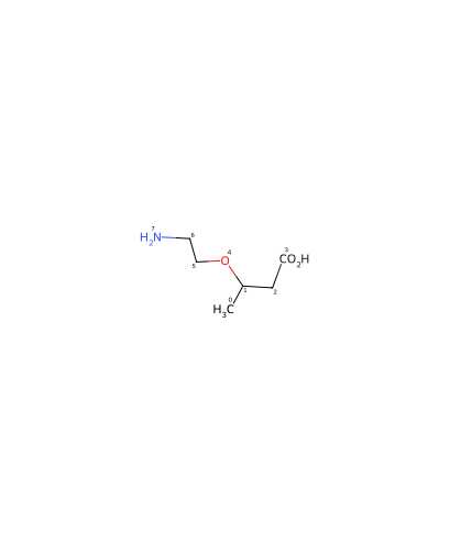 CC(CC(=O)O)OCCN